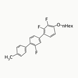 CCCCCCOc1ccc(-c2ccc(-c3ccc(C)cc3)c(F)c2)c(F)c1F